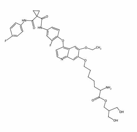 CCOc1cc2c(Oc3ccc(NC(=O)C4(C(=O)Nc5ccc(F)cc5)CC4)cc3F)ccnc2cc1OCCCCCC(N)C(=O)OCC(CO)CO